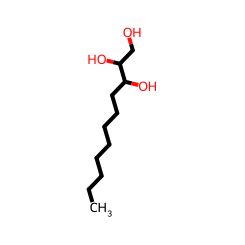 CCCCCCCCC(O)C(O)CO